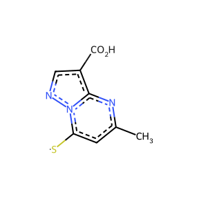 Cc1cc([S])n2ncc(C(=O)O)c2n1